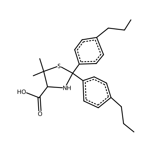 CCCc1ccc(C2(c3ccc(CCC)cc3)NC(C(=O)O)C(C)(C)S2)cc1